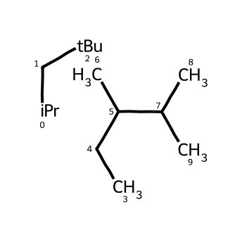 CC(C)CC(C)(C)C.CCC(C)C(C)C